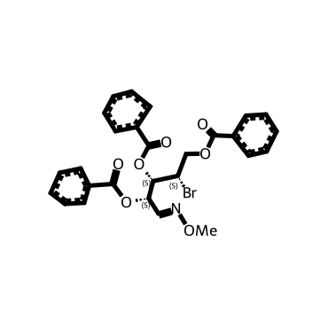 CON=C[C@H](OC(=O)c1ccccc1)[C@H](OC(=O)c1ccccc1)[C@@H](Br)COC(=O)c1ccccc1